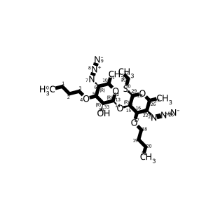 CCCCOC1[C@H](N=[N+]=[N-])C(C)O[C@H](O[C@@H]2C(OCCCC)[C@H](N=[N+]=[N-])C(C)O[C@@H]2SCC)[C@@H]1O